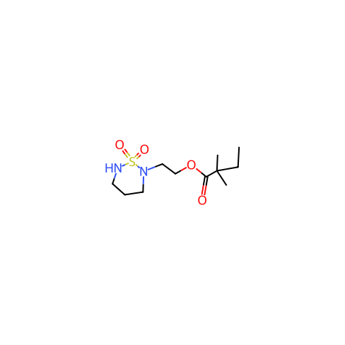 CCC(C)(C)C(=O)OCCN1CCCNS1(=O)=O